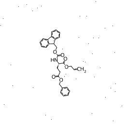 C=CCOC(=O)[C@@H](CCC(=O)OCc1ccccc1)NC(=O)OCC1c2ccccc2-c2ccccc21